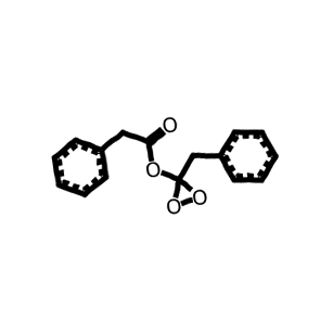 O=C(Cc1ccccc1)OC1(Cc2ccccc2)OO1